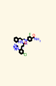 NC(=O)c1ccc(NC[C@H](Cc2ccccc2)NC(=O)/C=C/c2cc(Cl)ccc2-n2cnnn2)cc1F